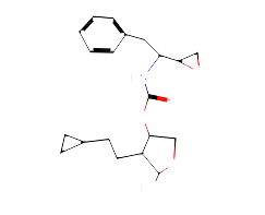 CC1OCC(OC(=O)NC(Cc2ccccc2)C2CO2)C1CCC1CC1